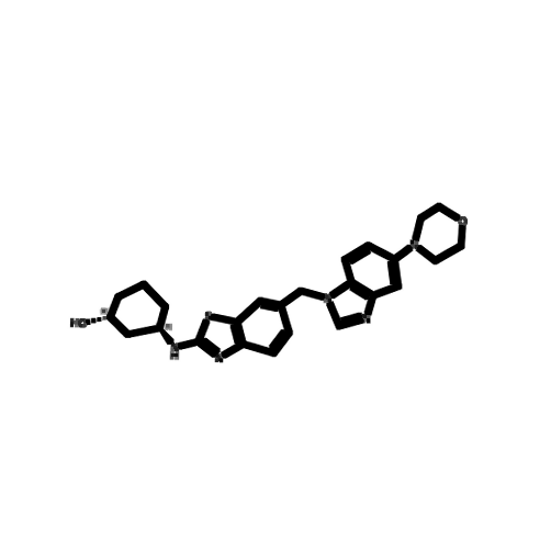 O[C@@H]1CCC[C@@H](Nc2nc3ccc(Cn4cnc5cc(N6CCOCC6)ccc54)cc3s2)C1